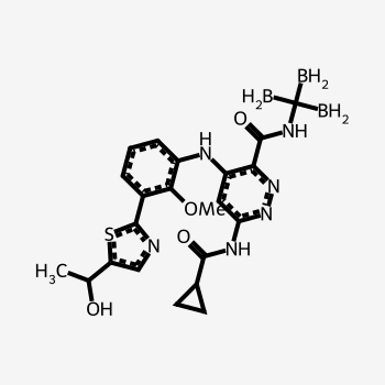 BC(B)(B)NC(=O)c1nnc(NC(=O)C2CC2)cc1Nc1cccc(-c2ncc(C(C)O)s2)c1OC